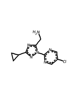 NCc1nc(C2CC2)nn1-c1ncc(Cl)cn1